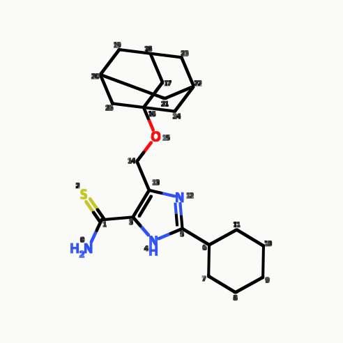 NC(=S)c1[nH]c(C2CCCCC2)nc1COC12CC3CC(CC(C3)C1)C2